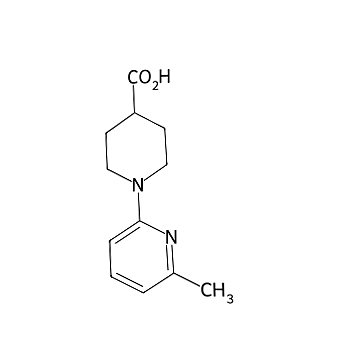 Cc1cccc(N2CCC(C(=O)O)CC2)n1